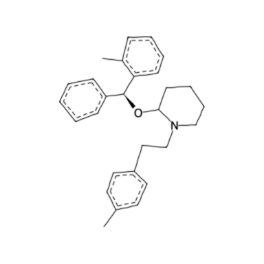 Cc1ccc(CCN2CCCCC2O[C@@H](c2ccccc2)c2ccccc2C)cc1